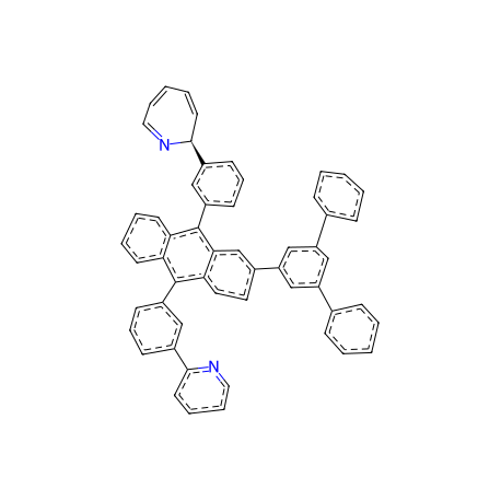 C1=CC=N[C@H](c2cccc(-c3c4ccccc4c(-c4cccc(-c5ccccn5)c4)c4ccc(-c5cc(-c6ccccc6)cc(-c6ccccc6)c5)cc34)c2)C=C1